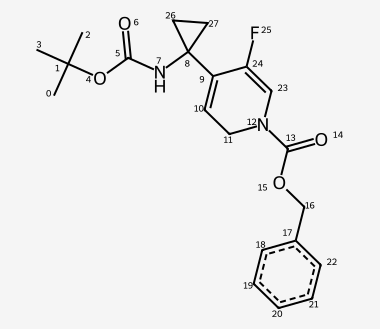 CC(C)(C)OC(=O)NC1(C2=CCN(C(=O)OCc3ccccc3)C=C2F)CC1